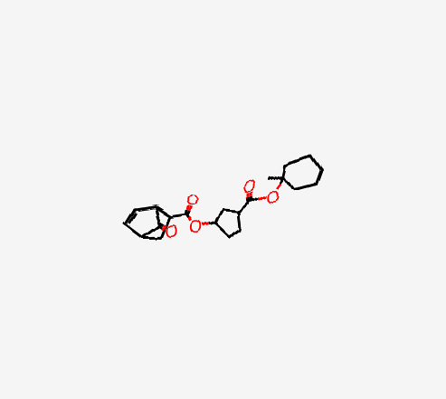 CC1(OC(=O)C2CCC(OC(=O)C3CC4C=CC3C4=O)C2)CCCCC1